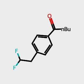 CCCCC(=O)c1ccc(CC(F)F)cc1